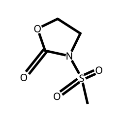 CS(=O)(=O)N1CCOC1=O